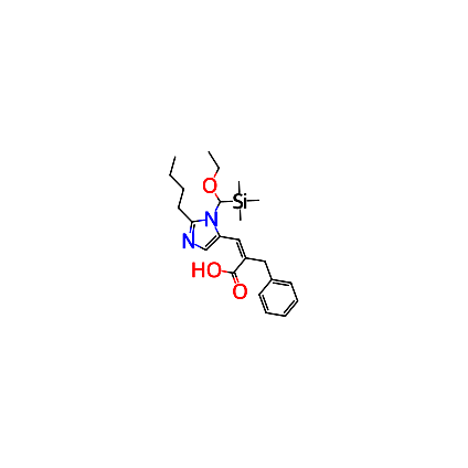 CCCCc1ncc(C=C(Cc2ccccc2)C(=O)O)n1C(OCC)[Si](C)(C)C